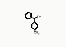 Cc1ccc([C](c2ccccc2)C(C)C)cc1